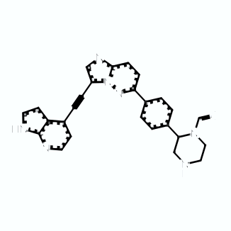 O=CN1CCNCC1c1ccc(-c2ccc3ncc(C#Cc4ccnc5[nH]ccc45)n3n2)cc1